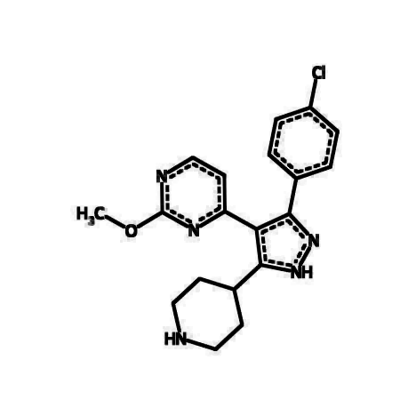 COc1nccc(-c2c(-c3ccc(Cl)cc3)n[nH]c2C2CCNCC2)n1